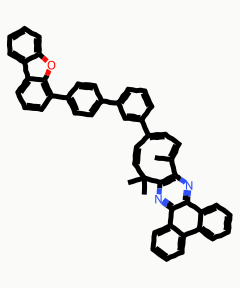 C\C1=C/C=C(c2cccc(-c3ccc(-c4cccc5c4oc4ccccc45)cc3)c2)\C=C/C(C)(C)c2nc3c4ccccc4c4ccccc4c3nc21